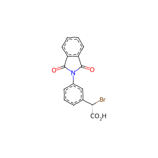 O=C(O)[C@@H](Br)c1cccc(N2C(=O)c3ccccc3C2=O)c1